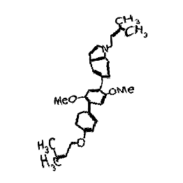 COc1cc(-c2ccc3c(ccn3CC=C(C)C)c2)c(OC)cc1-c1ccc(OCC=C(C)C)cc1